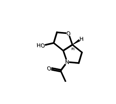 CC(=O)N1CC[C@H]2OCC(O)C21